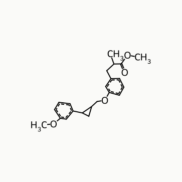 COC(=O)C(C)Cc1cccc(OCC2CC2c2cccc(OC)c2)c1